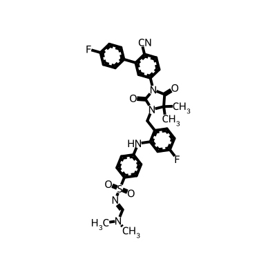 CN(C)C=NS(=O)(=O)c1ccc(Nc2cc(F)ccc2CN2C(=O)N(c3ccc(C#N)c(-c4ccc(F)cc4)c3)C(=O)C2(C)C)cc1